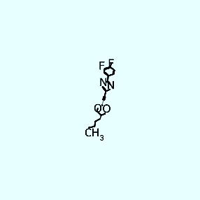 CCCCC[C@H]1CO[C@H](C#Cc2cnc(-c3ccc(F)c(F)c3)nc2)OC1